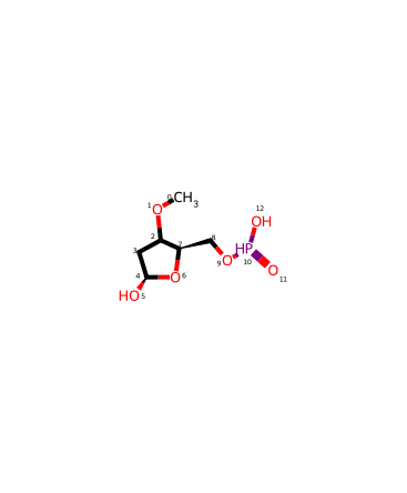 COC1C[C@H](O)O[C@@H]1CO[PH](=O)O